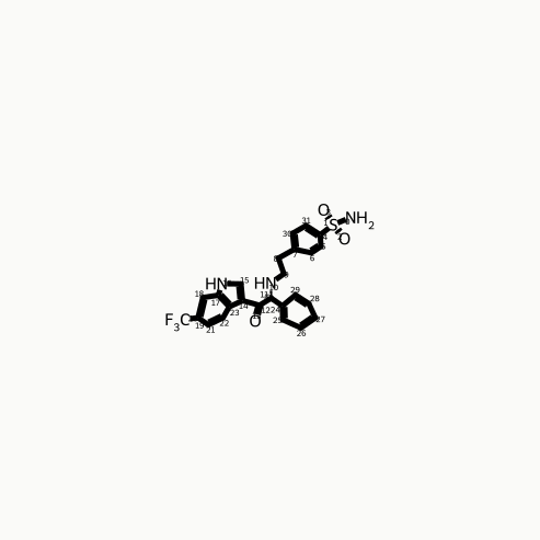 NS(=O)(=O)c1ccc(CCN[C@@H](C(=O)c2c[nH]c3cc(C(F)(F)F)ccc23)c2ccccc2)cc1